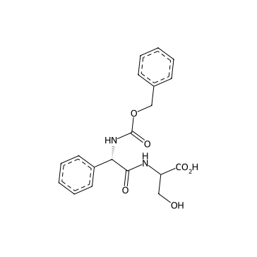 O=C(N[C@H](C(=O)NC(CO)C(=O)O)c1ccccc1)OCc1ccccc1